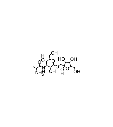 C[C@H](N)C(=O)N[C@@H]1[C@H](O)[C@@H](CO)OC(OC[C@@]2(O)O[C@H](CO)[C@@H](O)[C@@H]2O)[C@@H]1O